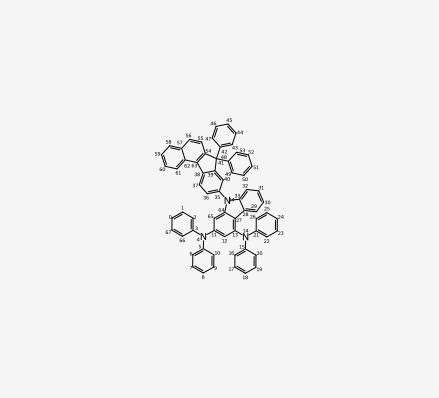 c1ccc(N(c2ccccc2)c2cc(N(c3ccccc3)c3ccccc3)c3c4ccccc4n(-c4ccc5c(c4)C(c4ccccc4)(c4ccccc4)c4ccc6ccccc6c4-5)c3c2)cc1